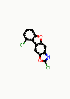 Clc1nc2cc3oc4cccc(Cl)c4c3cc2o1